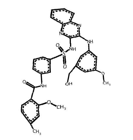 COc1cc(CO)cc(Nc2nc3ccccc3nc2NS(=O)(=O)c2cccc(NC(=O)c3ccc(C)cc3OC)c2)c1